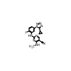 CNc1nc(Nc2cc(-n3nnnc3C3CC3)ccc2F)ncc1C#N